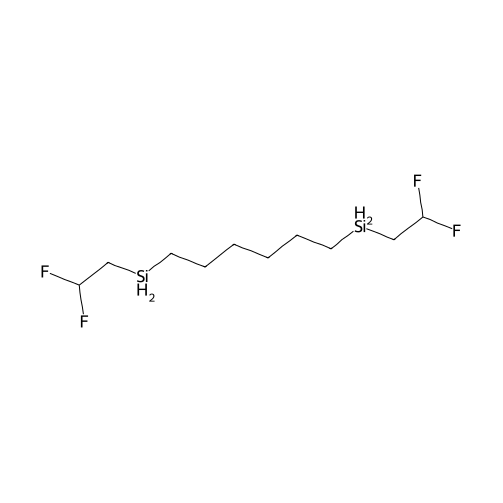 FC(F)C[SiH2]CCCCCC[SiH2]CC(F)F